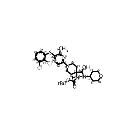 Cc1nc(N2CCC(NC(=O)OC(C)(C)C)(C(O)NC3CCOCC3)CC2)cnc1Sc1cccc(Cl)c1Cl